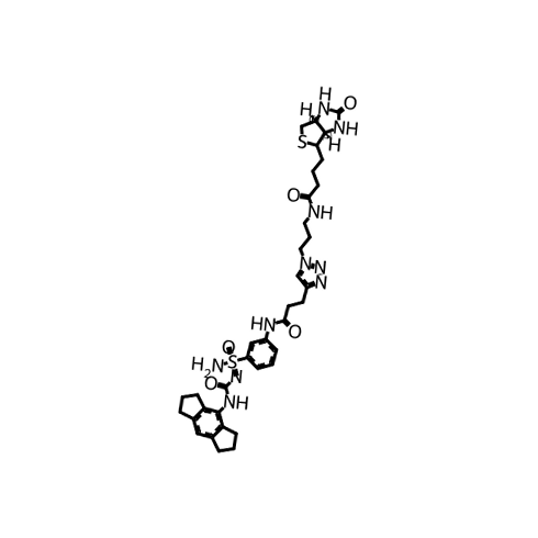 NS(=O)(=NC(=O)Nc1c2c(cc3c1CCC3)CCC2)c1cccc(NC(=O)CCc2cn(CCCNC(=O)CCCC3SC[C@@H]4NC(=O)N[C@H]34)nn2)c1